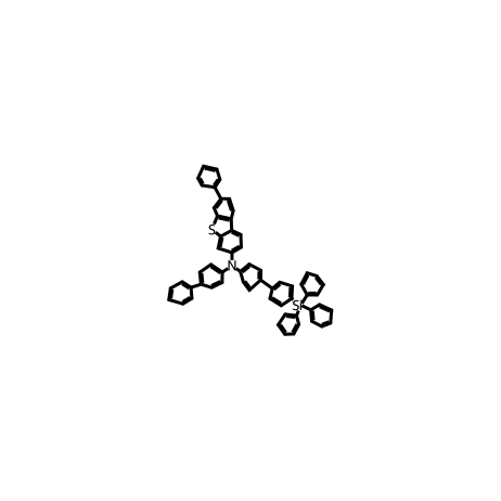 c1ccc(-c2ccc(N(c3ccc(-c4ccc([Si](c5ccccc5)(c5ccccc5)c5ccccc5)cc4)cc3)c3ccc4c(c3)sc3cc(-c5ccccc5)ccc34)cc2)cc1